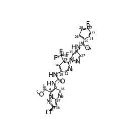 CO[C@@H](C)c1c(NC(=O)Nc2cnc(-n3cc(NC(=O)c4ccc(F)cc4)cn3)c(C(F)(F)F)c2)cnc2cc(Cl)nn12